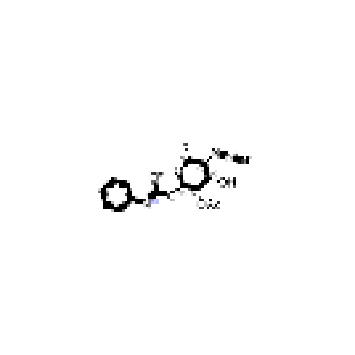 CC(=O)O[C@@H]1[C@@H](O/C(=N/c2ccccc2)C(F)(F)F)O[C@H](C)[C@@H](N=[N+]=[N-])[C@@H]1O